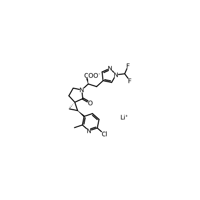 Cc1nc(Cl)ccc1[C@H]1C[C@@]12CCN([C@H](Cc1cnn(C(F)F)c1)C(=O)[O-])C2=O.[Li+]